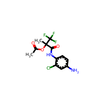 CC(=O)OC(C)(C(=O)Nc1ccc(N)cc1Cl)C(F)(F)F